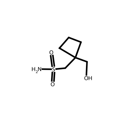 NS(=O)(=O)CC1(CO)CCC1